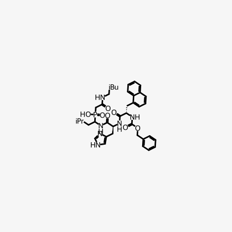 CCC(C)CNC(=O)CP(=O)(O)C(CC(C)C)NC(=O)[C@H](Cc1c[nH]cn1)NC(=O)[C@H](Cc1cccc2ccccc12)NC(=O)OCc1ccccc1